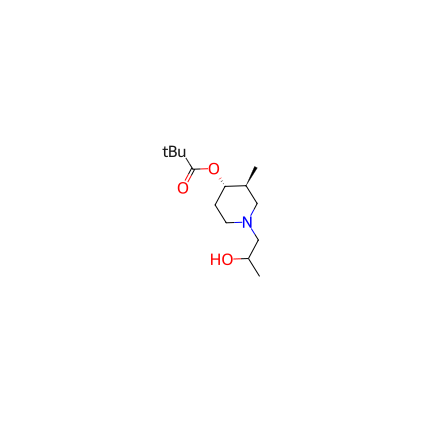 CC(O)CN1CC[C@H](OC(=O)C(C)(C)C)[C@@H](C)C1